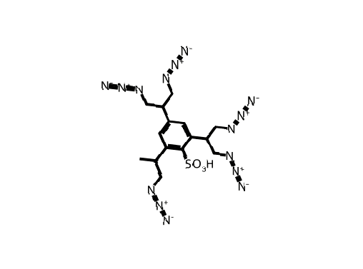 CC(CN=[N+]=[N-])c1cc(C(CN=[N+]=[N-])CN=[N+]=[N-])cc(C(CN=[N+]=[N-])CN=[N+]=[N-])c1S(=O)(=O)O